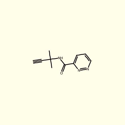 C#CC(C)(C)NC(=O)c1cc[c]nn1